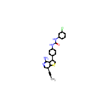 [CH2]C#Cc1cnc(N)c2c(-c3ccc(NC(=O)Nc4cccc(Cl)c4)cc3)csc12